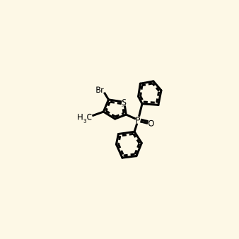 Cc1cc(P(=O)(c2ccccc2)c2ccccc2)sc1Br